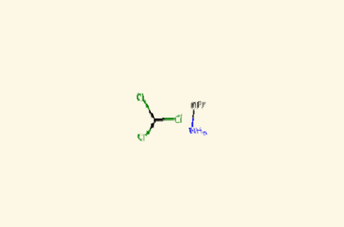 CCCN.ClC(Cl)Cl